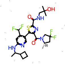 CC(Nc1cc(C(F)F)c(-c2sc(C(=O)NCC(C)(C)O)nc2C(=O)N2CC(F)(F)C[C@@H]2C)cn1)C1CCC1